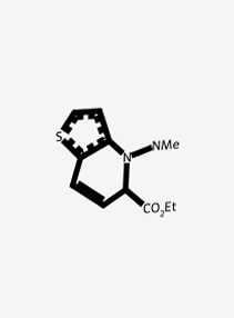 CCOC(=O)C1C=Cc2sccc2N1NC